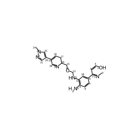 C/N=C(\C=C/O)c1ccc(N)c(NCOCC2CC=C(c3cnn(C)c3)C=N2)c1